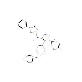 O=C(c1cnn(-c2ncc(F)cn2)c1C1CCN(Cc2ccncc2)CC1)N1CC(c2ccccc2)C(F)(F)C1